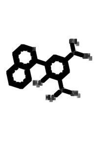 Cc1c(-c2nccc3ccccc23)cc(N(C)C)cc1N(C)C